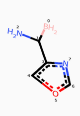 BC(N)c1cocn1